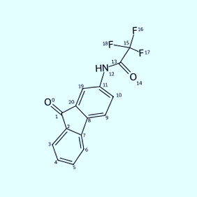 O=C1c2ccccc2-c2ccc(NC(=O)C(F)(F)F)cc21